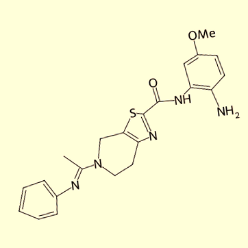 COc1ccc(N)c(NC(=O)c2nc3c(s2)CN(/C(C)=N/c2ccccc2)CC3)c1